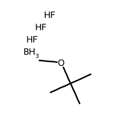 B.COC(C)(C)C.F.F.F